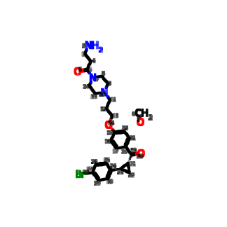 C=O.NCCC(=O)N1CCN(CCCOc2ccc(C(=O)[C@@H]3C[C@H]3c3ccc(Br)cc3)cc2)CC1